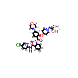 C[C@H](O)CN1CCC(Oc2cc(N3CCOCC3)ccc2C(=O)Nc2ccc(F)cc2C(=O)Nc2ccc(Cl)cn2)CC1